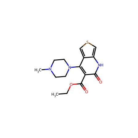 CCOC(=O)c1c(N2CCN(C)CC2)c2cscc2[nH]c1=O